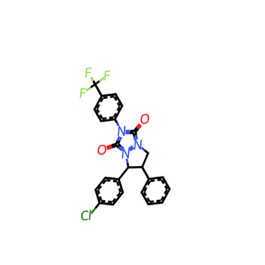 O=c1n(-c2ccc(C(F)(F)F)cc2)c(=O)n2n1CC(c1ccccc1)C2c1ccc(Cl)cc1